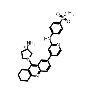 CS(=O)(=O)c1ccc(Nc2cc(-c3ccc4nc5c(c(N6CC[C@@H](N)C6)c4c3)CCCC5)ccn2)cc1